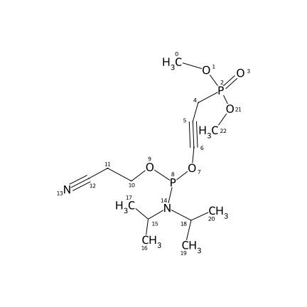 COP(=O)(CC#COP(OCCC#N)N(C(C)C)C(C)C)OC